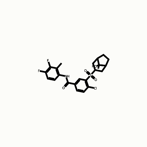 Cc1c(NC(=O)c2ccc(Cl)c(S(=O)(=O)C3CC4CCC(C3)C4(C)O)c2)ccc(F)c1F